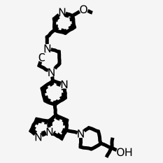 COc1ccc(CN2CCN(c3ccc(-c4cc(N5CCC(C(C)(C)O)CC5)cn5nccc45)cn3)CC2)cn1